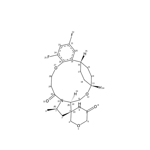 C[C@@H]1C[C@@]2(COCC(=O)N2)[C@@H]2CO[C@H]3CC[C@H](CC3)c3cc(F)cc(F)c3OCCC(=O)N12